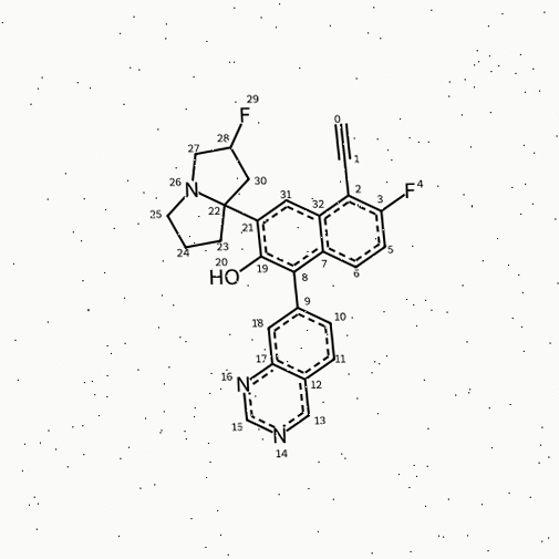 C#Cc1c(F)ccc2c(-c3ccc4cncnc4c3)c(O)c(C34CCCN3CC(F)C4)cc12